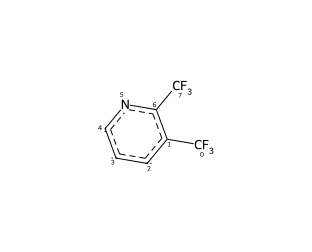 FC(F)(F)c1[c][c][c]nc1C(F)(F)F